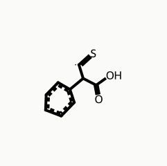 O=C(O)C([C]=S)c1ccccc1